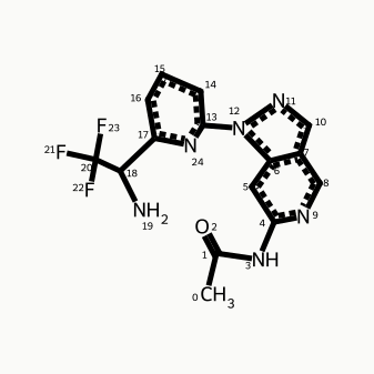 CC(=O)Nc1cc2c(cn1)cnn2-c1cccc(C(N)C(F)(F)F)n1